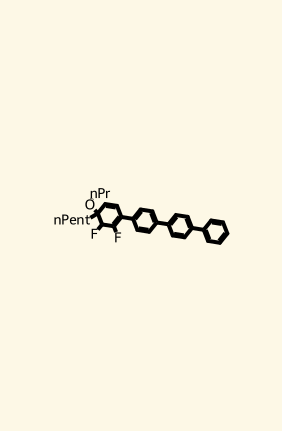 CCCCCC1(OCCC)C=CC(c2ccc(-c3ccc(-c4ccccc4)cc3)cc2)=C(F)C1F